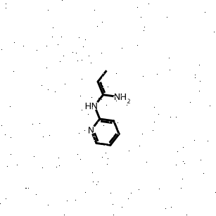 CC=C(N)Nc1ccccn1